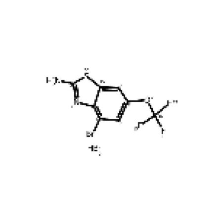 Br.Nc1nc2c(Br)cc(OC(F)(F)F)cc2s1